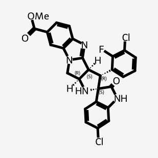 COC(=O)c1ccc2nc3n(c2c1)C[C@@H]1N[C@@]2(C(=O)Nc4cc(Cl)ccc42)[C@@H](c2cccc(Cl)c2F)[C@H]31